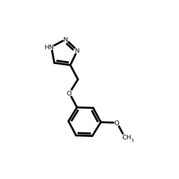 COc1cccc(OCc2c[nH]nn2)c1